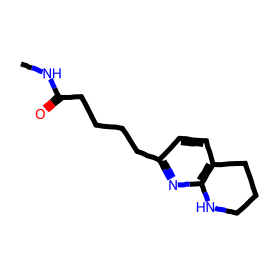 CNC(=O)CCCCc1ccc2c(n1)NCCC2